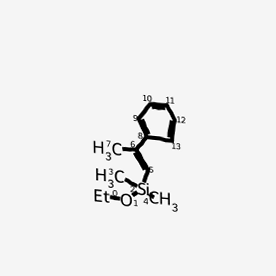 CCO[Si](C)(C)C=C(C)c1ccccc1